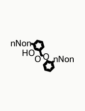 CCCCCCCCCc1ccccc1OC(=O)c1cccc(CCCCCCCCC)c1O